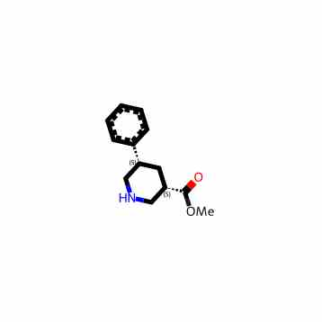 COC(=O)[C@@H]1CNC[C@H](c2ccccc2)C1